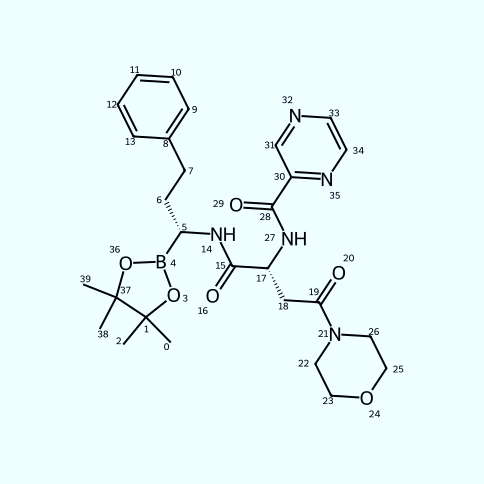 CC1(C)OB([C@H](CCc2ccccc2)NC(=O)[C@@H](CC(=O)N2CCOCC2)NC(=O)c2cnccn2)OC1(C)C